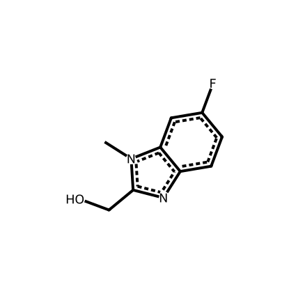 Cn1c(CO)nc2ccc(F)cc21